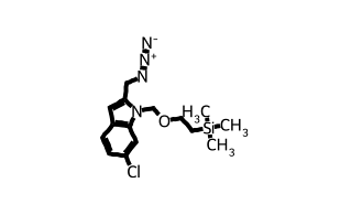 C[Si](C)(C)CCOCn1c(CN=[N+]=[N-])cc2ccc(Cl)cc21